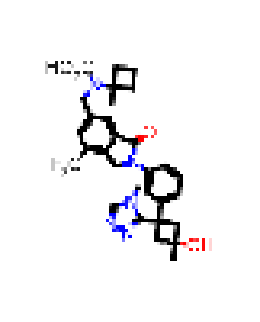 Cn1cnnc1C1(c2cccc(N3Cc4c(cc(CN(C(=O)O)C5(C)CCC5)cc4C(F)(F)F)C3=O)c2)CC(C)(O)C1